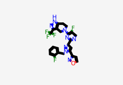 Fc1ccccc1Cn1nc(-c2ncc(F)c(N3CCc4[nH]nc(C(F)(F)F)c4C3)n2)cc1-c1ccon1